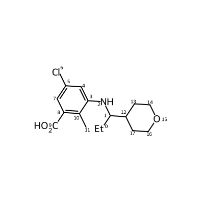 CCC(Nc1cc(Cl)cc(C(=O)O)c1C)C1CCOCC1